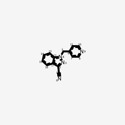 N#Cc1nn(Cc2ccncc2)c2ccccc12